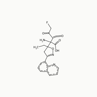 CCC1(C(N)(C(=O)O)C(=C=O)C(=O)CF)CC(c2cccc3cccnc23)=NO1